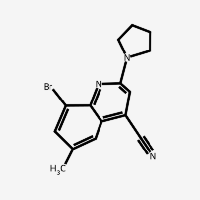 Cc1cc(Br)c2nc(N3CCCC3)cc(C#N)c2c1